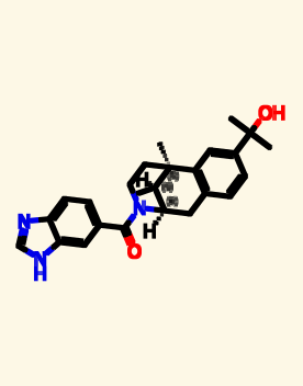 C[C@@H]1[C@H]2Cc3ccc(C(C)(C)O)cc3[C@]1(C)CCN2C(=O)c1ccc2nc[nH]c2c1